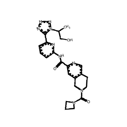 CC(CO)n1nnnc1-c1cccc(NC(=O)c2cc3c(cn2)CCN(C(=O)N2CCC2)C3)n1